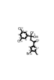 Cc1sc(C(=O)CC(O)(c2cc(Cl)cc(Cl)c2)C(F)(F)F)cc1Br